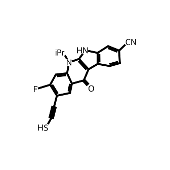 CC(C)n1c2cc(F)c(C#CS)cc2c(=O)c2c3ccc(C#N)cc3[nH]c21